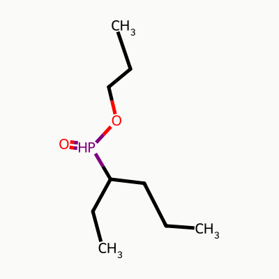 CCCO[PH](=O)C(CC)CCC